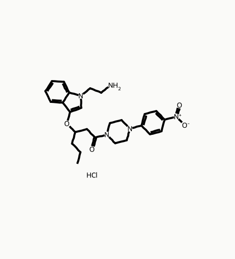 CCCC(CC(=O)N1CCN(c2ccc([N+](=O)[O-])cc2)CC1)Oc1cn(CCN)c2ccccc12.Cl